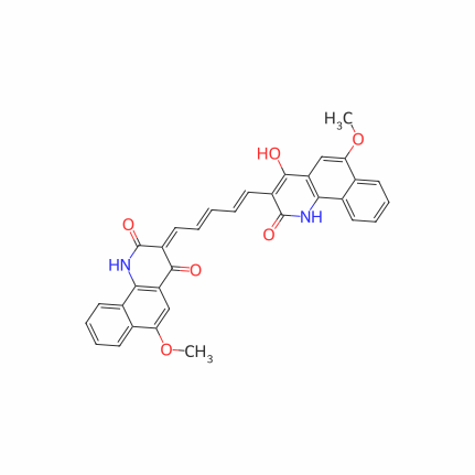 COc1cc2c(c3ccccc13)NC(=O)C(=CC=CC=Cc1c(O)c3cc(OC)c4ccccc4c3[nH]c1=O)C2=O